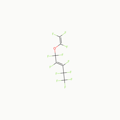 FC(F)=C(F)OC(F)(F)C(F)=C(F)C(F)(F)C(F)(F)F